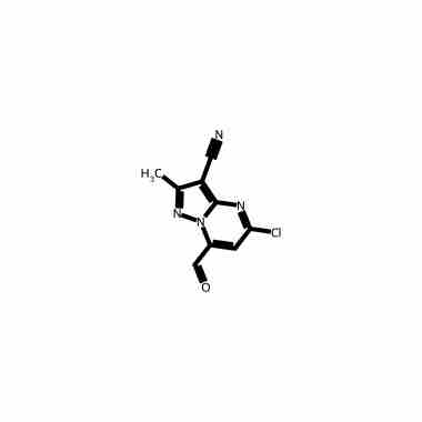 Cc1nn2c(C=O)cc(Cl)nc2c1C#N